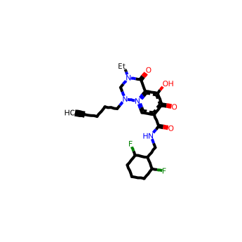 C#CCCCN1CN(CC)C(=O)c2c(O)c(=O)c(C(=O)NCC3C(F)CCCC3F)cn21